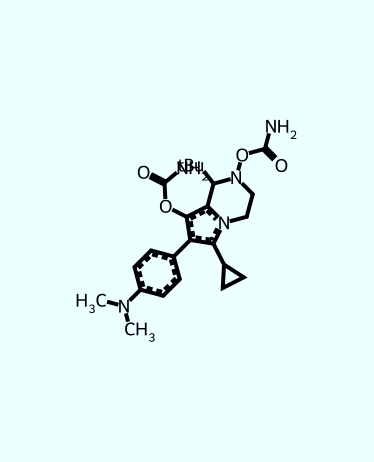 CN(C)c1ccc(-c2c(OC(N)=O)c3n(c2C2CC2)CCN(OC(N)=O)C3C(C)(C)C)cc1